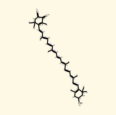 CC1=C(/C=C/C(C)=C/C=C/C(C)=C/C=C/C=C(C)/C=C/C=C(C)/C=C/C2=C(C)C(=O)C(=O)CC2(C)C)C(C)(C)CC(O)C1